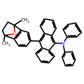 CC12CCC(C)(O1)c1cc(-c3c4ccccc4c(N(c4ccccc4)c4ccccc4)c4ccccc34)ccc12